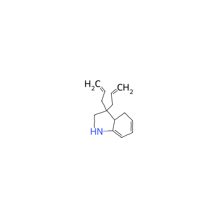 C=CCC1(CC=C)CCNC2=CC=CCC21